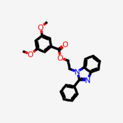 COc1cc(OC)cc(C(=O)OCCn2c(-c3ccccc3)nc3ccccc32)c1